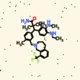 CCNc1ccc(C(c2ccc(C)c(CN3CCCc4cccc(C(F)(F)F)c4C3)c2)C(C)(C)C(N)=O)c(C)c1NC